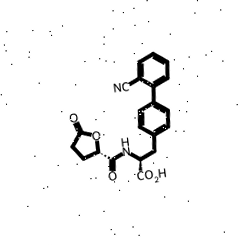 N#Cc1ccccc1-c1ccc(C[C@H](NC(=O)[C@@H]2CCC(=O)O2)C(=O)O)cc1